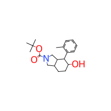 Cc1ccccc1C1C(O)CCC2CN(C(=O)OC(C)(C)C)CC21